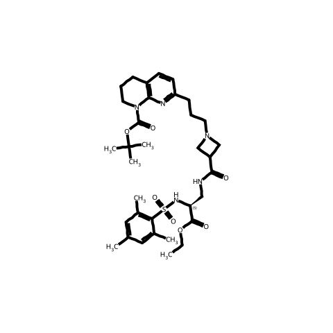 CCOC(=O)[C@H](CNC(=O)C1CN(CCCc2ccc3c(n2)N(C(=O)OC(C)(C)C)CCC3)C1)NS(=O)(=O)c1c(C)cc(C)cc1C